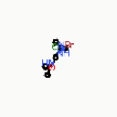 O=C(NCc1ccc(CNc2cc(-c3ccccc3Cl)nc3c(Br)ccn23)cc1)c1ccccc1Cc1ccccc1